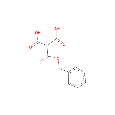 O=C(O)C(C(=O)O)C(=O)OCc1ccccc1